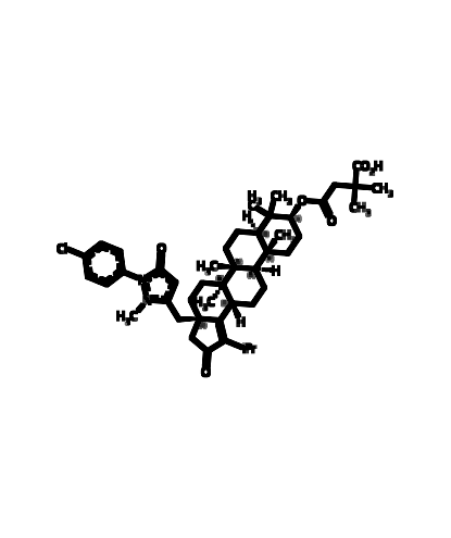 CC(C)C1=C2[C@H]3CC[C@@H]4[C@@]5(C)CC[C@H](OC(=O)CC(C)(C)C(=O)O)C(C)(C)[C@@H]5CC[C@@]4(C)[C@]3(C)CC[C@@]2(Cc2cc(=O)n(-c3ccc(Cl)cc3)n2C)CC1=O